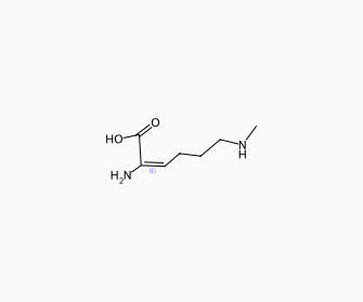 CNCCC/C=C(/N)C(=O)O